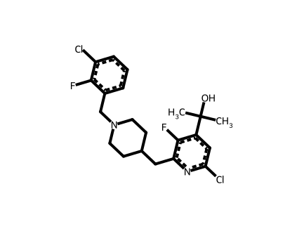 CC(C)(O)c1cc(Cl)nc(CC2CCN(Cc3cccc(Cl)c3F)CC2)c1F